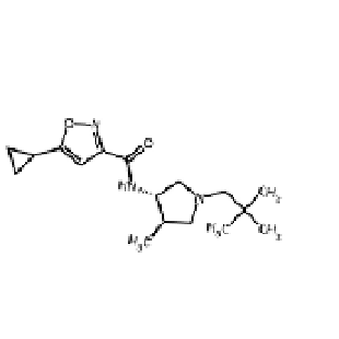 C[C@@H]1CN(CC(C)(C)C)C[C@H]1NC(=O)c1cc(C2CC2)on1